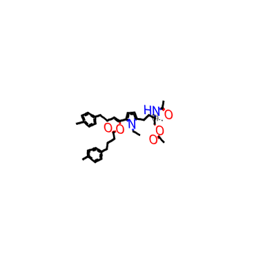 CCn1c(CC[C@](C)(COC(C)=O)NC(C)=O)ccc1C(=CCCc1ccc(C)cc1)OC(=O)CCCc1ccc(C)cc1